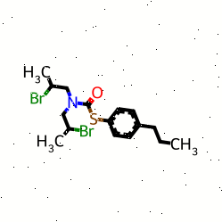 CCCc1ccc(SC(=O)N(CC(C)Br)CC(C)Br)cc1